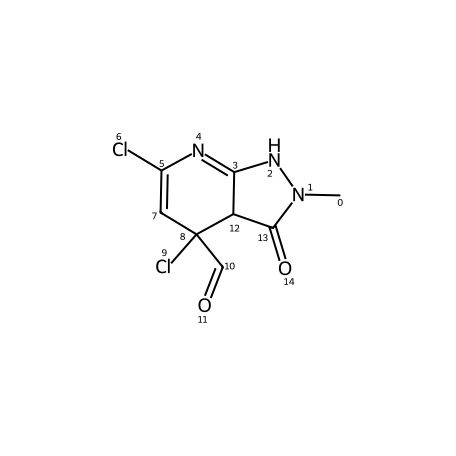 CN1NC2=NC(Cl)=CC(Cl)(C=O)C2C1=O